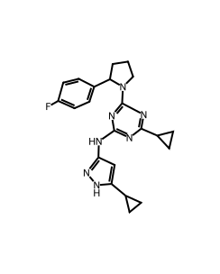 Fc1ccc(C2CCCN2c2nc(Nc3cc(C4CC4)[nH]n3)nc(C3CC3)n2)cc1